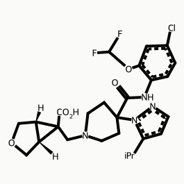 CC(C)c1ccnn1C1(C(=O)Nc2ccc(Cl)cc2OC(F)F)CCN(CC2(C(=O)O)[C@@H]3COC[C@@H]32)CC1